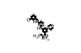 CCN(C)C(=O)c1cc(Nc2nccc(NCc3cccc(Cl)c3)n2)cc(N2CCOCC2)c1